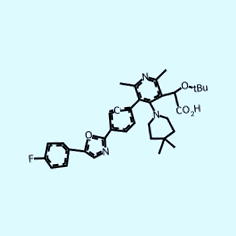 Cc1nc(C)c(C(OC(C)(C)C)C(=O)O)c(N2CCC(C)(C)CC2)c1-c1ccc(-c2ncc(-c3ccc(F)cc3)o2)cc1